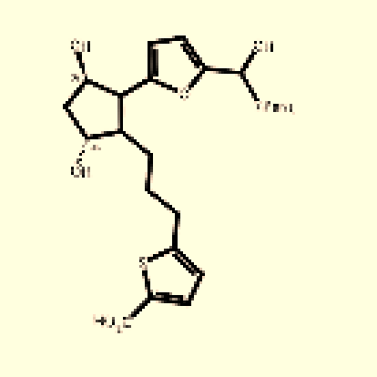 CCCCCC(O)c1ccc(C2C(CCCc3ccc(C(=O)O)s3)[C@H](O)C[C@H]2O)o1